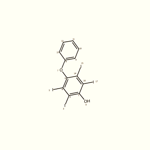 Oc1c(I)c(I)c(Oc2ccccc2)c(I)c1I